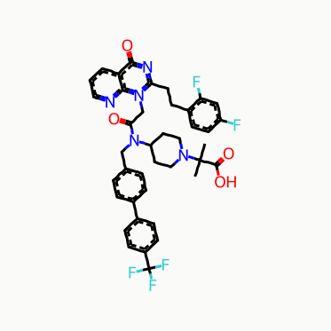 CC(C)(C(=O)O)N1CCC(N(Cc2ccc(-c3ccc(C(F)(F)F)cc3)cc2)C(=O)Cn2c(CCc3ccc(F)cc3F)nc(=O)c3cccnc32)CC1